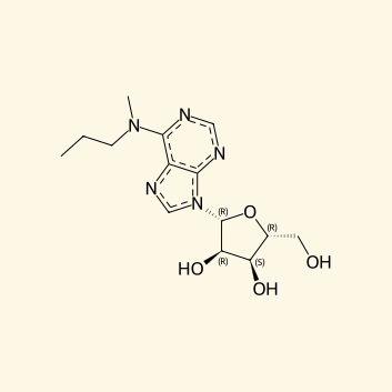 CCCN(C)c1ncnc2c1ncn2[C@@H]1O[C@H](CO)[C@@H](O)[C@H]1O